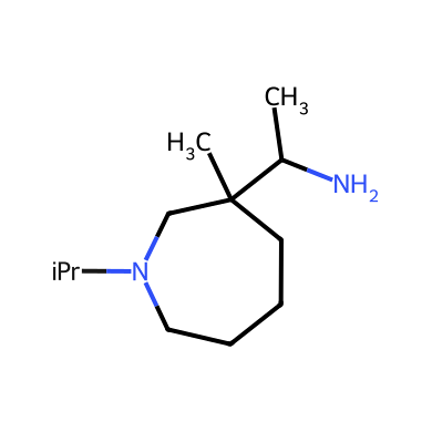 CC(C)N1CCCCC(C)(C(C)N)C1